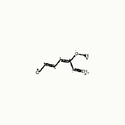 C=C/C(=C\C=C\Cl)OCC